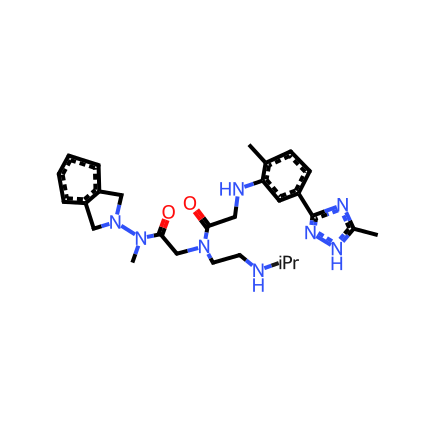 Cc1nc(-c2ccc(C)c(NCC(=O)N(CCNC(C)C)CC(=O)N(C)N3Cc4ccccc4C3)c2)n[nH]1